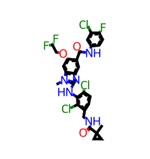 Cn1c(Nc2c(Cl)ccc(CNC(=O)C3(C)CC3)c2Cl)nc2cc(C(=O)Nc3ccc(F)c(Cl)c3)c(OCC(F)F)cc21